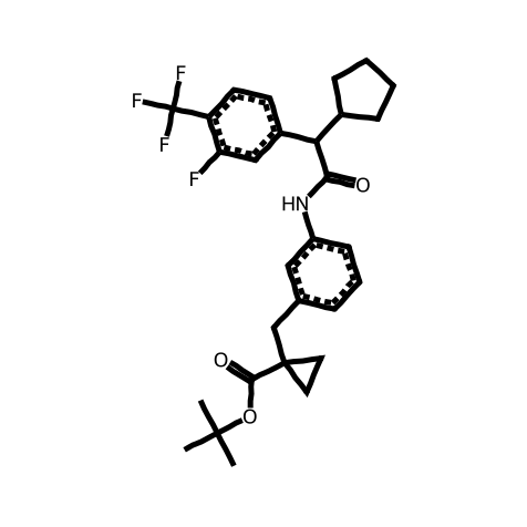 CC(C)(C)OC(=O)C1(Cc2cccc(NC(=O)C(c3ccc(C(F)(F)F)c(F)c3)C3CCCC3)c2)CC1